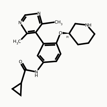 Cc1ncnc(C)c1-c1cc(NC(=O)C2CC2)ccc1O[C@@H]1CCCNC1